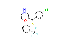 FC(F)(F)c1ccccc1SC(c1ccc(Cl)cc1)[C@@H]1CNCCO1